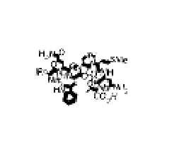 CSCC[C@H](NC(=O)[C@H](CC(C)C)NC(=O)[C@H](Cc1c[nH]c2ccccc12)NC(=O)[C@H](CCC(N)=O)NC(=O)[C@@H](N)C(C)C)C(=O)N[C@@H](CC(N)=O)C(=O)N[C@H](C(=O)O)[C@@H](C)O